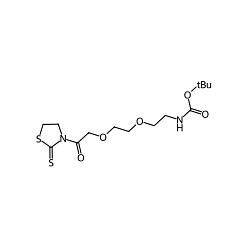 CC(C)(C)OC(=O)NCCOCCOCC(=O)N1CCSC1=S